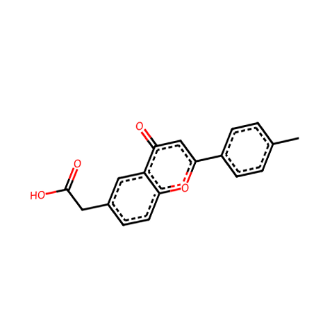 Cc1ccc(-c2cc(=O)c3cc(CC(=O)O)ccc3o2)cc1